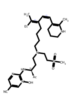 CC/C(C)=C(/C=C\C1=C(C)NCCC1)CCCCN(CC[C@H](Nc1ncc(C#N)c[n+]1O)C(C)=O)CCS(C)(=O)=O